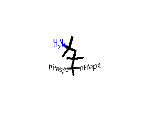 CCCCCCCC(C)(CCCCCCC)C(C)(C)CC(C)(C)N